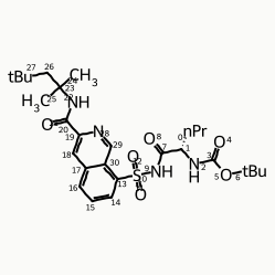 CCC[C@H](NC(=O)OC(C)(C)C)C(=O)NS(=O)(=O)c1cccc2cc(C(=O)NC(C)(C)CC(C)(C)C)ncc12